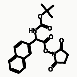 CC(C)(C)OC(=O)NC(C(=O)ON1C(=O)CCC1=O)c1ccc2ccccc2c1